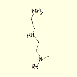 CC(C)N(C)CCNCCN